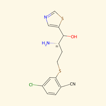 N#Cc1ccc(Cl)cc1SCC[C@H](N)C(O)c1cncs1